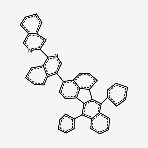 c1ccc(-c2c3c(c(-c4ccccc4)c4ccccc24)-c2ccc(-c4cnc(-c5cc6ccccc6cn5)c5ccccc45)c4cccc-3c24)cc1